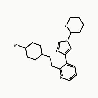 CC(C)C1CCC(OCc2ncccc2-c2ncn(C3CCCCO3)n2)CC1